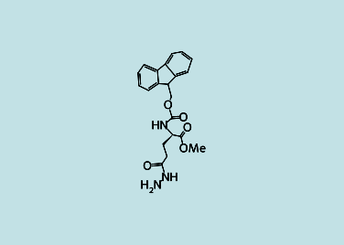 COC(=O)[C@@H](CCC(=O)NN)NC(=O)OCC1c2ccccc2-c2ccccc21